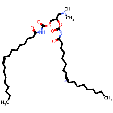 CCCCCCCC/C=C\CCCCCCCC(=O)NC(=O)OCC(CN(C)C)OC(=O)NC(=O)CCCCCCC/C=C\CCCCCCCC